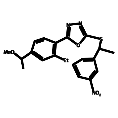 CCc1cc(C(C)OC)ccc1-c1nnc(SC(C)c2cccc([N+](=O)[O-])c2)o1